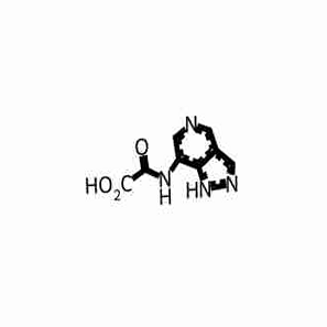 O=C(O)C(=O)Nc1cncc2cn[nH]c12